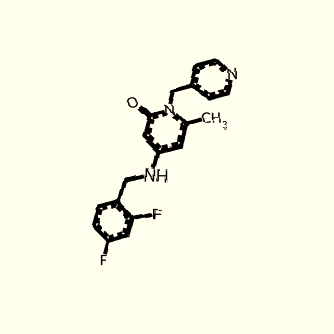 Cc1cc(NCc2ccc(F)cc2F)cc(=O)n1Cc1ccncc1